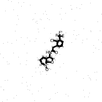 O=C(Cc1cccc(C(F)(F)F)c1Cl)NC1COc2c1ccc[n+]2[O-]